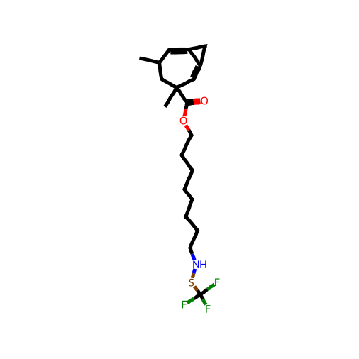 CC1C=C2CC2=CC(C)(C(=O)OCCCCCCCCNSC(F)(F)F)C1